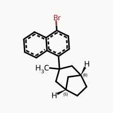 CC1(c2ccc(Br)c3ccccc23)C[C@@H]2CC[C@@H](C2)C1